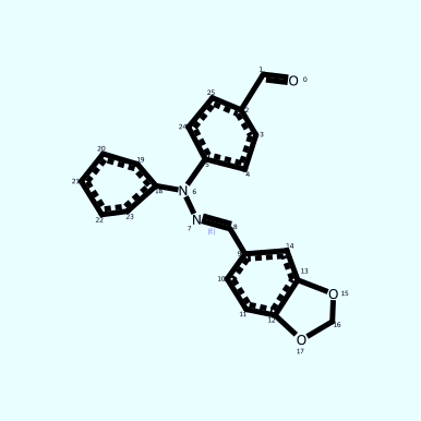 O=Cc1ccc(N(/N=C/c2ccc3c(c2)OCO3)c2ccccc2)cc1